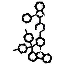 C/C=C(\C=C/Cc1ccc2c(c1)C(c1ccc(C)cc1)(c1ccc(C)cc1)c1cccc3c4ccccc4n-2c13)c1nc2ccccc2n1-c1ccccc1